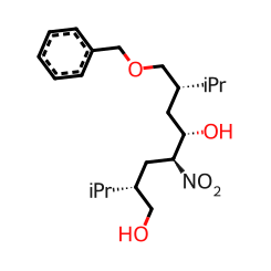 CC(C)[C@@H](COCc1ccccc1)C[C@H](O)[C@H](C[C@H](CO)C(C)C)[N+](=O)[O-]